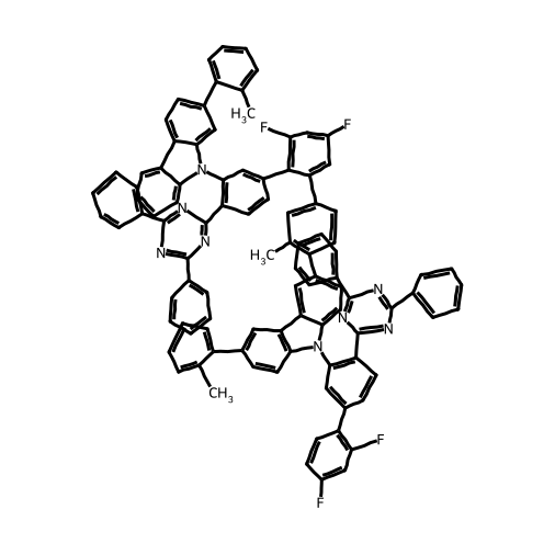 Cc1ccccc1-c1ccc2c(c1)c1cc(-c3ccc(-c4cc(F)cc(F)c4-c4ccc(-c5nc(-c6ccccc6)nc(-c6ccccc6)n5)c(-n5c6ccccc6c6ccc(-c7ccccc7C)cc65)c4)cc3C)ccc1n2-c1cc(-c2ccc(F)cc2F)ccc1-c1nc(-c2ccccc2)nc(-c2ccccc2)n1